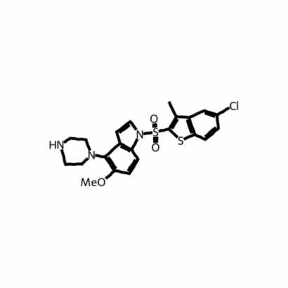 COc1ccc2c(ccn2S(=O)(=O)c2sc3ccc(Cl)cc3c2C)c1N1CCNCC1